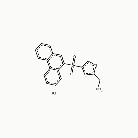 Cl.NCc1ncc(S(=O)(=O)c2cc3ccccc3c3ccccc23)s1